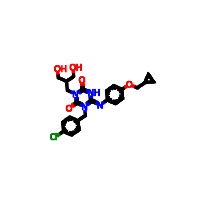 O=c1[nH]/c(=N\c2ccc(OCC3CC3)cc2)n(Cc2ccc(Cl)cc2)c(=O)n1CC(CO)CO